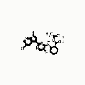 CC(C)OC(O)[C@H]1CCCCC1Nc1nc(-c2c[nH]c3ncc(Cl)cc23)ncc1F